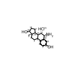 C[C@]12CCC3c4ccc(O)cc4[C@H](N)CC3C1CC[C@@H]2O.Cl